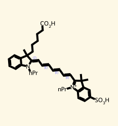 CCCN1\C(=C/C=C/C=C/C=C/C2=[N+](CCC)c3ccc(S(=O)(=O)O)cc3C2(C)C)C(C)(CCCCCC(=O)O)c2ccccc21